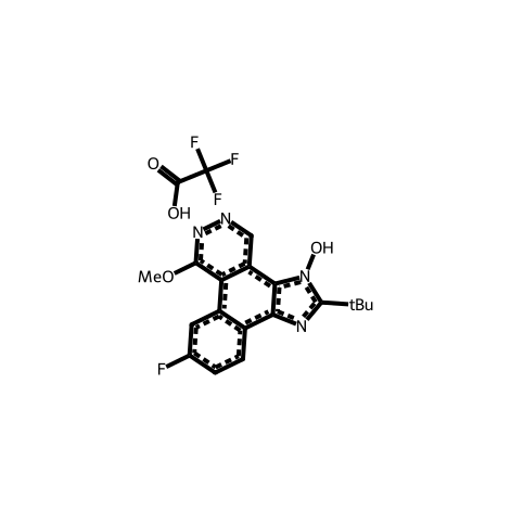 COc1nncc2c1c1cc(F)ccc1c1nc(C(C)(C)C)n(O)c21.O=C(O)C(F)(F)F